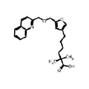 CC(C)(CCCCc1coc(COCc2ccc3ccccc3n2)c1)C(=O)O